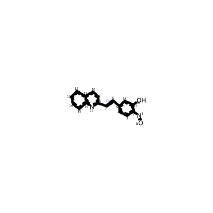 O=Nc1ccc(/C=C/c2ccc3ccccc3n2)cc1O